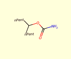 CCCCCC(CCCCC)OC(N)=O